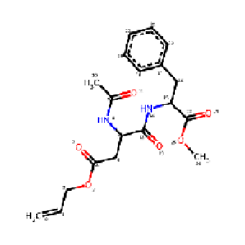 C=CCOC(=O)CC(NC(C)=O)C(=O)NC(Cc1ccccc1)C(=O)OC